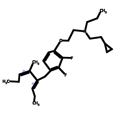 CC/C=C(C)\C(=C\CC)Cc1ccc(OCCN(CCC)CCC2CC2)c(F)c1F